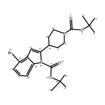 CC(C)(C)OC(=O)N1CCC(c2cc3c(Br)cccc3n2C(=O)OC(C)(C)C)CC1